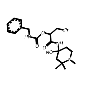 CC(C)CC(OC(=O)NCc1ccccc1)C(=O)NC1(C#N)CCN(C)C(C)(C)C1